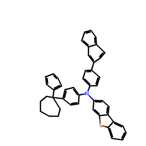 c1ccc(C2(c3ccc(N(c4ccc(-c5ccc6ccccc6c5)cc4)c4ccc5c(c4)sc4ccccc45)cc3)CCCCCC2)cc1